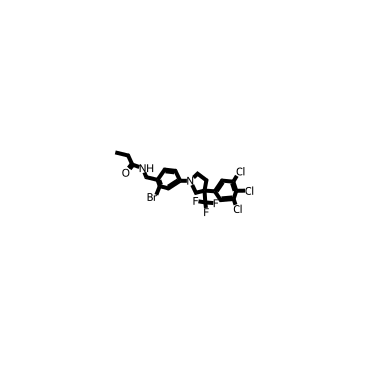 CCC(=O)NCc1ccc(N2CCC(c3cc(Cl)c(Cl)c(Cl)c3)(C(F)(F)F)C2)cc1Br